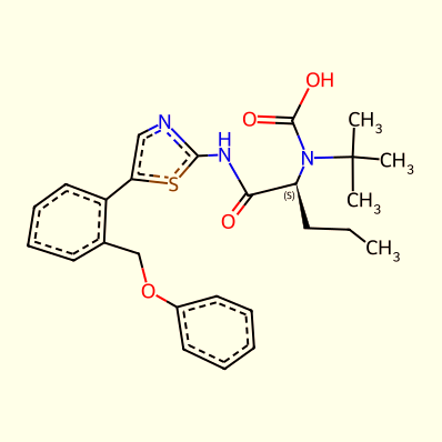 CCC[C@@H](C(=O)Nc1ncc(-c2ccccc2COc2ccccc2)s1)N(C(=O)O)C(C)(C)C